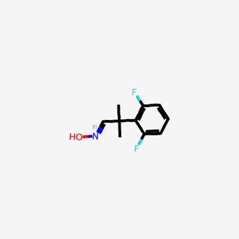 CC(C)(/C=N/O)c1c(F)cccc1F